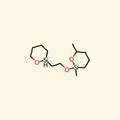 CC1CCC[Si](C)(OCC[SiH]2CCCCO2)O1